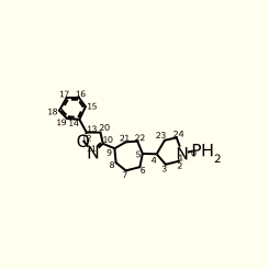 PN1CCC(C2CCCC(C3=NOC(c4ccccc4)C3)CC2)CC1